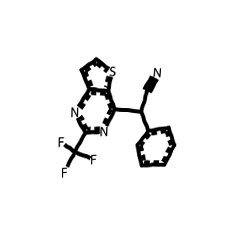 N#CC(c1ccccc1)c1nc(C(F)(F)F)nc2ccsc12